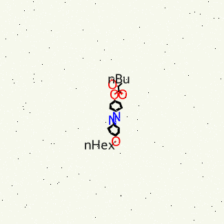 CCCCCCOc1ccc(/N=N/c2ccc(OC(=O)C(C)OCCCC)cc2)cc1